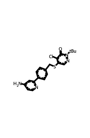 CC(C)(C)n1ncc(SCc2ccc(-c3cc(N)ccn3)cc2)c(Cl)c1=O